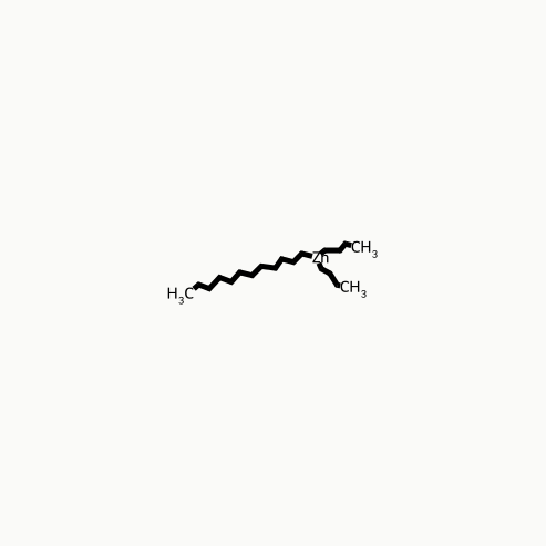 CCCCCCCCCCC[CH2][Zn]([CH2]CCC)[CH2]CCC